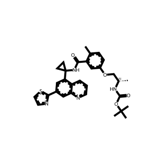 Cc1ccc(OC[C@H](C)NC(=O)OC(C)(C)C)cc1C(=O)NC1(c2cc(-c3nccs3)cc3ncccc23)CC1